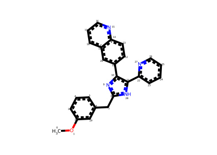 COc1cccc(Cc2nc(-c3ccc4ncccc4c3)c(-c3ccccn3)[nH]2)c1